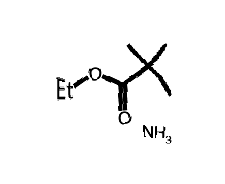 CCOC(=O)C(C)(C)C.N